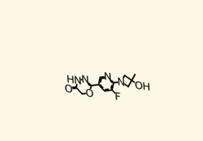 CC1(O)CN(c2ncc(C3=NNC(=O)CO3)cc2F)C1